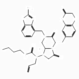 C=CCN(C(=O)NCCCC)N1CC(=O)N2[C@@H](Cc3ccc4c(c3)NC(=O)CO4)C(=O)N(Cc3cccc4sc(N)nc34)C[C@@H]21